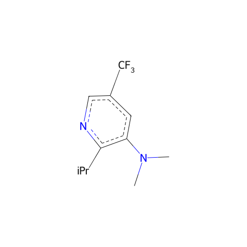 CC(C)c1ncc(C(F)(F)F)cc1N(C)C